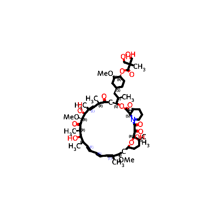 CO[C@H]1CC2CC[C@@H](C)[C@@](O)(O2)C(=O)C(=O)N2CCCC[C@H]2C(=O)O[C@H]([C@H](C)C[C@@H]2CC[C@@H](OC(=O)C(C)(CO)CO)[C@H](OC)C2)CC(=O)[C@H](C)/C=C(\C)C(O)[C@@H](OC)C(=O)[C@H](C)C(O)[C@H](C)/C=C/C=C/C=C/1C